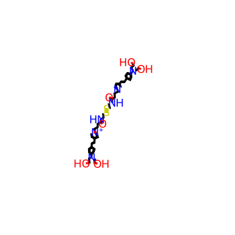 O=C(CCCn1ccc(/C=C/c2ccc(N(CCO)CCO)cc2)c1)NCCSSCCNC(=O)CCC[n+]1ccc(/C=C/c2ccc(N(CCO)CCO)cc2)cc1